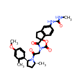 CNC(=O)Nc1ccc2c(c1)CCC21OC(=O)N(CC(=O)N2[C@H](C)CC[C@H]2c2ccc(OC)cc2C)C1=O